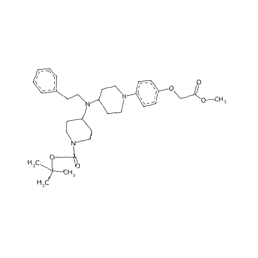 COC(=O)COc1ccc(N2CCC(N(CCc3ccccc3)C3CCN(C(=O)OC(C)(C)C)CC3)CC2)cc1